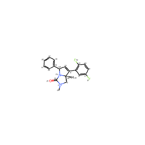 CN1C[C@H]2C(c3cc(F)ccc3F)=CC(c3ccccc3)N2C1=O